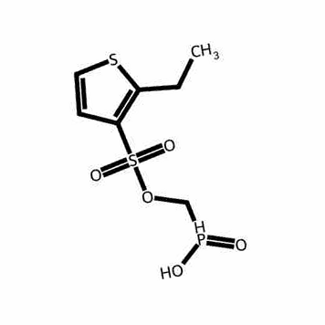 CCc1sccc1S(=O)(=O)OC[PH](=O)O